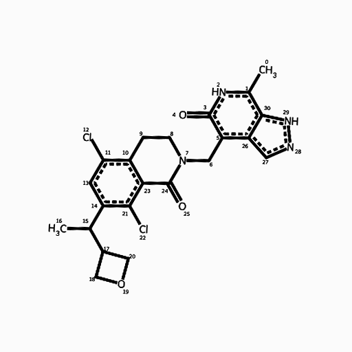 Cc1[nH]c(=O)c(CN2CCc3c(Cl)cc(C(C)C4COC4)c(Cl)c3C2=O)c2cn[nH]c12